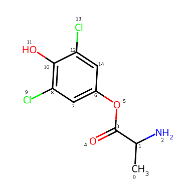 CC(N)C(=O)Oc1cc(Cl)c(O)c(Cl)c1